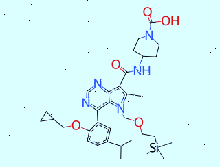 Cc1c(C(=O)NC2CCN(C(=O)O)CC2)c2ncnc(-c3cc(C(C)C)ccc3OCC3CC3)c2n1COCC[Si](C)(C)C